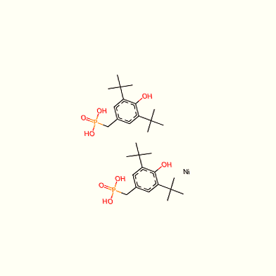 CC(C)(C)c1cc(CP(=O)(O)O)cc(C(C)(C)C)c1O.CC(C)(C)c1cc(CP(=O)(O)O)cc(C(C)(C)C)c1O.[Ni]